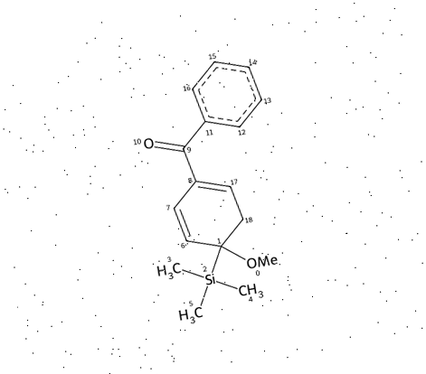 COC1([Si](C)(C)C)C=CC(C(=O)c2ccccc2)=CC1